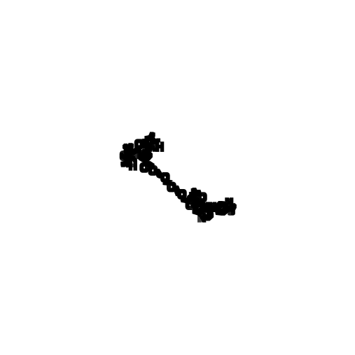 C[CH]C(=O)N[C@H](C(=O)N1C[C@@H](C(=O)COCCOCCOCCOCCOc2cc3nccc(Nc4ccc5scnc5c4)c3cc2S(=O)(=O)C(C)(C)C)C[C@H]1C(=O)N[C@H](C)C(C)C)C(C)(C)C